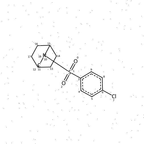 O=S(=O)(c1ccc(Cl)cc1)N1CC2CCC(CC2)C1